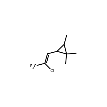 CC1C(/C=C(\Cl)C(F)(F)F)C1(C)C